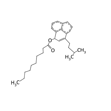 CCCCCCCCCC(=O)OC1C=C(CCC(C)C)c2cccc3cccc1c23